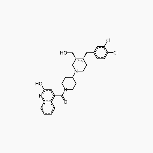 O=C(c1cc(O)nc2ccccc12)N1CCC(N2CC[C@H](Cc3ccc(Cl)c(Cl)c3)[C@H](CO)C2)CC1